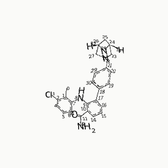 Cc1c(Cl)cccc1Nc1c(C(N)=O)cccc1-c1ccc(N2C[C@H]3C[C@@H](C2)N3)cc1